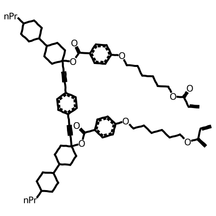 C=CC(=C)OCCCCCCOc1ccc(C(=O)OC2(C#Cc3ccc(C#CC4(OC(=O)c5ccc(OCCCCCCOC(=O)C=C)cc5)CCC(C5CCC(CCC)CC5)CC4)cc3)CCC(C3CCC(CCC)CC3)CC2)cc1